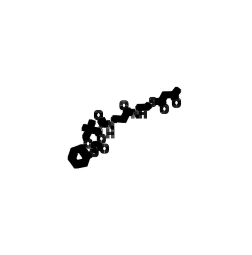 CC(=O)CC(=O)SCCNC(=O)CCNC(=O)[C@@H]1OP(=O)(Oc2ccccc2)OCC1(C)C